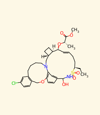 CC[C@@H]1CC/C=C/[C@H](O[C@@H](C)C(=O)OC)[C@@H]2CC[C@H]2CN2CCCCc3cc(Cl)ccc3COc3ccc(cc32)C(O)NS1(=O)=O